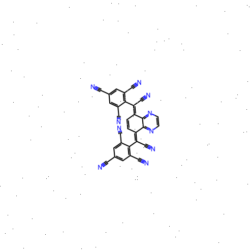 N#C/C(c1c(C#N)cc(C#N)cc1C#N)=c1/cc/c(=C(/C#N)c2c(C#N)cc(C#N)cc2C#N)c2nccnc12